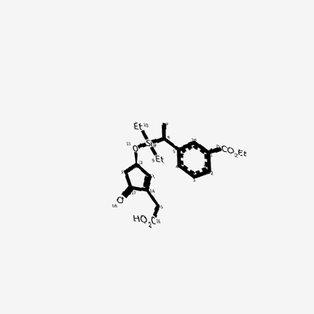 CCOC(=O)c1cccc(C(C)[Si](CC)(CC)O[C@H]2C=C(CC(=O)O)C(=O)C2)c1